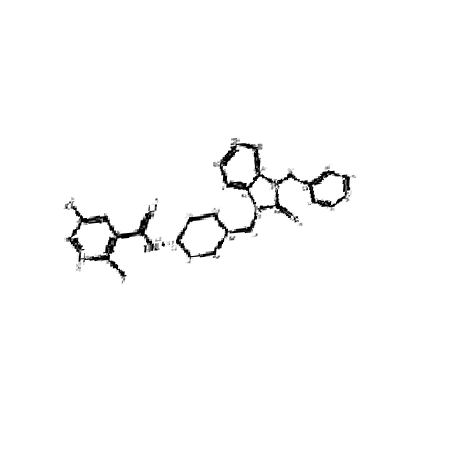 Cc1ncc(Cl)cc1C(=O)N[C@H]1CC[C@H](Cn2c(=O)n(Cc3ccncc3)c3ccccc32)CC1